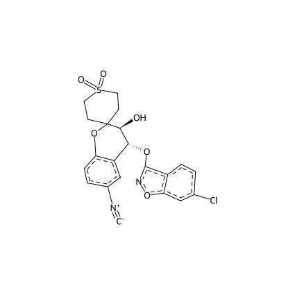 [C-]#[N+]c1ccc2c(c1)[C@@H](Oc1noc3cc(Cl)ccc13)[C@H](O)C1(CCS(=O)(=O)CC1)O2